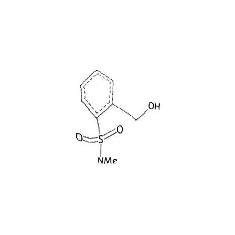 CNS(=O)(=O)c1ccccc1CO